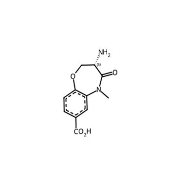 CN1C(=O)[C@@H](N)COc2ccc(C(=O)O)cc21